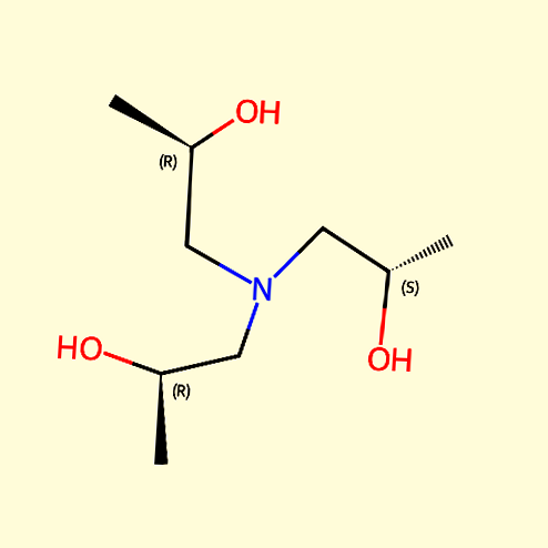 C[C@H](O)CN(C[C@@H](C)O)C[C@@H](C)O